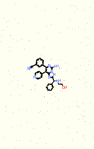 N#Cc1cccc(-c2nc(N)n3nc(C(NCCO)c4ccccc4)nc3c2-c2ccncc2)c1